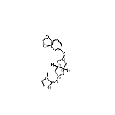 Cn1ccnc1S[C@H]1C[C@@H]2CN(Sc3ccc4c(c3)OCO4)C[C@@H]2C1